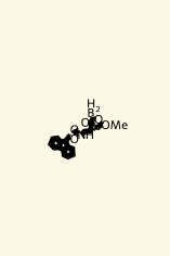 BCC(=O)N(CCNC(=O)OCC1c2ccccc2-c2ccccc21)CC(=O)OC